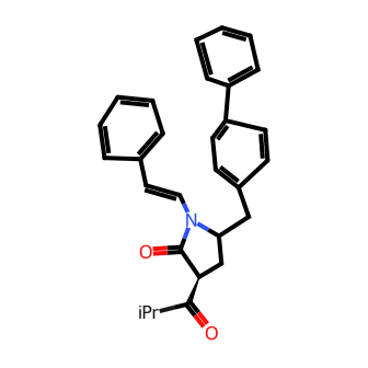 CC(C)C(=O)[C@@H]1CC(Cc2ccc(-c3ccccc3)cc2)N(/C=C/c2ccccc2)C1=O